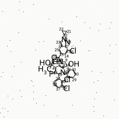 CC(C)(O)c1cc([C@@](O)(CNC(=O)c2cc(Cl)c3nn(C4CC4)cc3c2)c2ccccc2)nc(-c2cccc(Cl)c2Cl)c1F